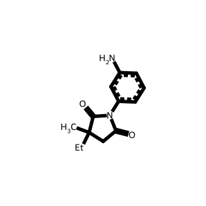 CCC1(C)CC(=O)N(c2cccc(N)c2)C1=O